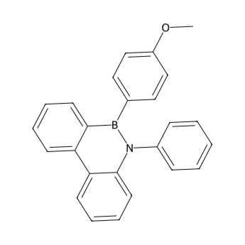 COc1ccc(B2c3ccccc3-c3ccccc3N2c2ccccc2)cc1